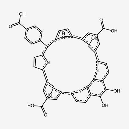 O=C(O)c1ccc(-c2c3nc(c4cc(C(=O)O)cc(c4O)c4ccc5c(O)c(O)c6ccc(nc6c5n4)c4cc(C(=O)O)cc(c4O)c4ccc2[nH]4)C=C3)cc1